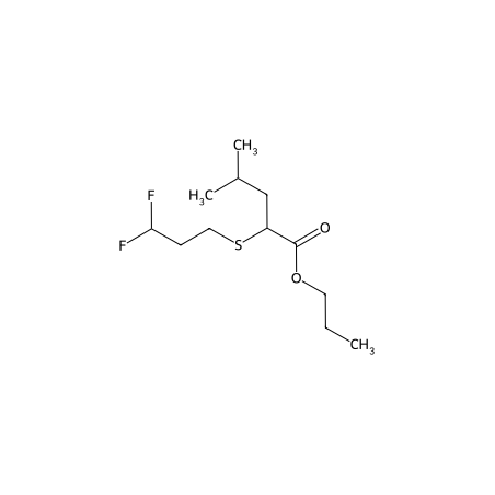 CCCOC(=O)C(CC(C)C)SCCC(F)F